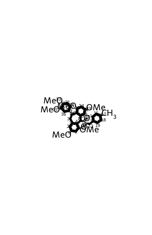 COc1cc2c(c(OC)c1)C(S(=O)(=O)Cc1ccc(C)cc1)c1cc(OC)cc(OC)c1[C@@H](c1ccc(OC)c(OC)c1)C2